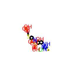 CSc1nc(Cl)nc(Nc2ccc3c(O)c(N=Nc4ccc(SC#COOS(=O)(=O)O)cc4S(=O)(=O)O)c(SOOO)cc3c2)n1